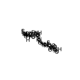 O=C1CCC(N2C(=O)c3cc(F)c(N4CCN(CCOc5ccc(-c6cnc7[nH]cc(C(=O)c8c(F)ccc(NS(=O)(=O)N9CC[C@@H](F)C9)c8F)c7c6)cc5)CC4)cc3C2=O)C(=O)N1